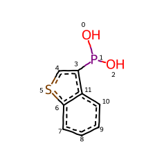 OP(O)c1csc2ccccc12